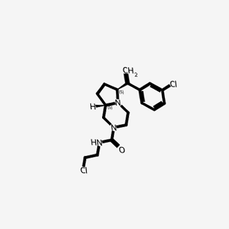 C=C(c1cccc(Cl)c1)[C@@H]1CC[C@H]2CN(C(=O)NCCCl)CCN21